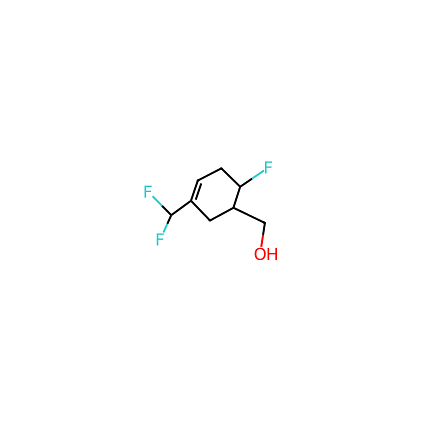 OCC1CC(C(F)F)=CCC1F